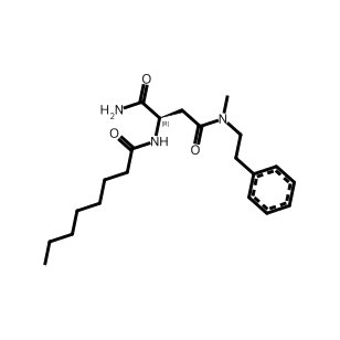 CCCCCCCC(=O)N[C@H](CC(=O)N(C)CCc1ccccc1)C(N)=O